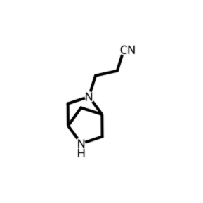 N#CCCN1CC2CC1CN2